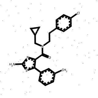 Cc1cccc(-c2sc(N)nc2C(=O)N(CCc2ccc(Cl)cc2)CC2CC2)c1